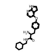 NC(Cc1ccc(Oc2ccnc3[nH]ccc23)cc1)C(=O)NCC1CCCCC1